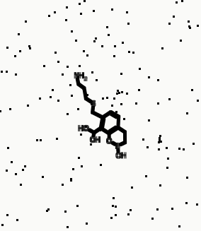 NCCCSCc1ccc2c(c1C(O)O)OB(O)CC2